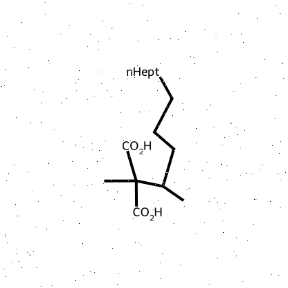 CCCCCCCCCCC(C)C(C)(C(=O)O)C(=O)O